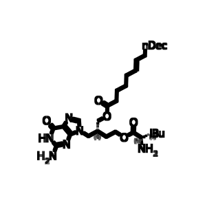 CCCCCCCCCCCC=CCCCCC(=O)OC[C@H](CCOC(=O)[C@@H](N)[C@@H](C)CC)Cn1cnc2c(=O)[nH]c(N)nc21